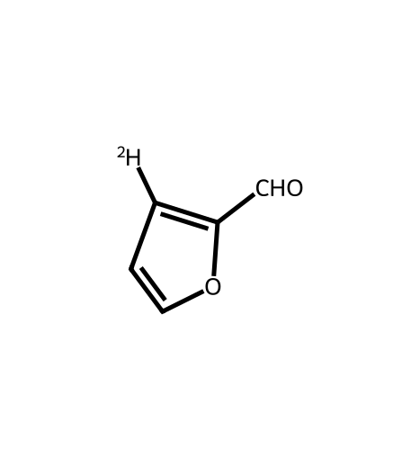 [2H]c1ccoc1C=O